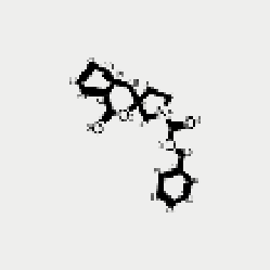 O=C1OC2(CCN(C(=O)OCc3ccccc3)C2)Cc2ccccc21